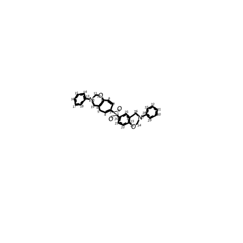 O=S(=O)(C1=CCC2=C(C=C1)OCN(c1ccccc1)C2)c1ccc2c(c1)CN(c1ccccc1)CO2